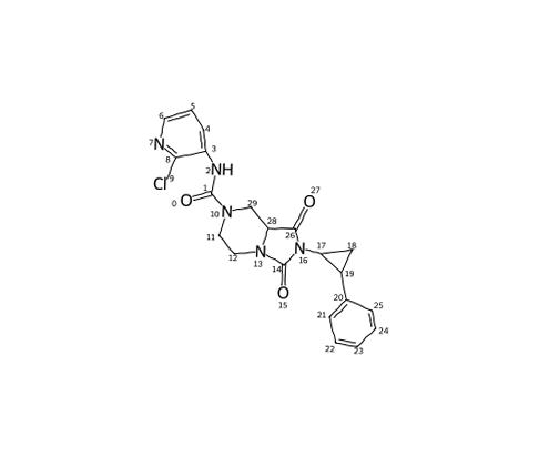 O=C(Nc1cccnc1Cl)N1CCN2C(=O)N(C3CC3c3ccccc3)C(=O)C2C1